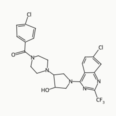 O=C(c1ccc(Cl)cc1)N1CCN(C2CN(c3nc(C(F)(F)F)nc4cc(Cl)ccc34)CC2O)CC1